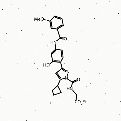 CCOC(=O)CNC(=O)n1nc(-c2ccc(NC(=O)c3cccc(OC)c3)cc2O)cc1C1CCC1